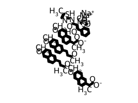 COc1ccc2cc(CCC(C)=O)ccc2c1.COc1ccc2cc(CCC(C)=O)ccc2c1.COc1ccc2cc([C@H](C)C(=O)[O-])ccc2c1.COc1ccc2cc([C@H](C)C(=O)[O-])ccc2c1.Cc1cnc(NC(=O)C2=C(O)c3ccccc3S(=O)(=O)N2C)s1.[Na+].[Na+]